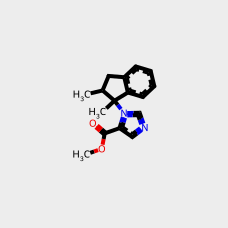 COC(=O)c1cncn1C1(C)c2ccccc2CC1C